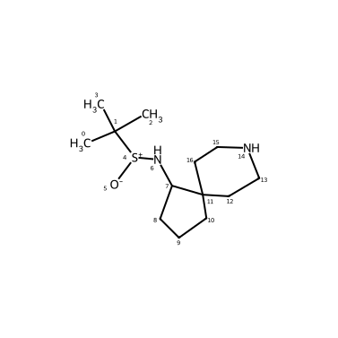 CC(C)(C)[S+]([O-])NC1CCCC12CCNCC2